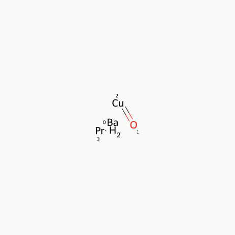 [BaH2].[O]=[Cu].[Pr]